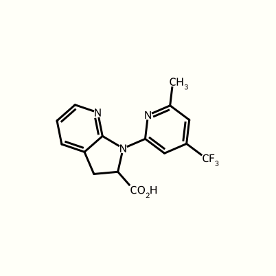 Cc1cc(C(F)(F)F)cc(N2c3ncccc3CC2C(=O)O)n1